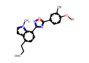 CC(C)Oc1ccc(-c2nc(-c3ccc(CCC=O)c4ccn(C)c34)no2)cc1C#N